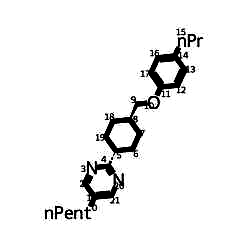 CCCCCc1cnc([C@H]2CC[C@H](COc3ccc(CCC)cc3)CC2)nc1